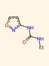 CCNC(=O)Nc1ccon1